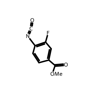 COC(=O)c1ccc(N=C=O)c(F)c1